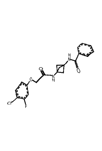 O=C(COc1ccc(Cl)c(F)c1)NC12CC(NC(=O)c3ccccc3)(C1)C2